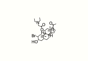 CCN(CC)CC(=O)OC1C[C@]2(C)[C@@H](C(C)=O)CC[C@H]2[C@@H]2CCC3CC(O)C(Br)C[C@]3(C)[C@@H]12